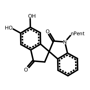 CCCCCN1C(=O)C2(CC(=O)c3cc(O)c(O)cc32)c2ccccc21